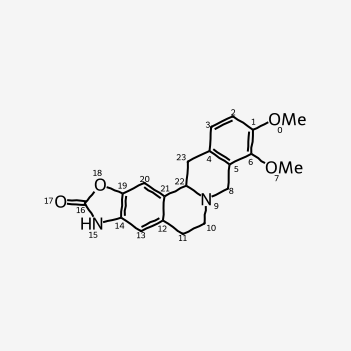 COc1ccc2c(c1OC)CN1CCc3cc4[nH]c(=O)oc4cc3C1C2